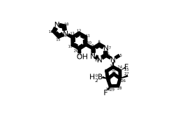 B[C@]12C[C@@H](N(C)c3ncc(-c4ccc(-n5ccnc5)cc4O)nn3)[C@H](F)[C@](C)(C[C@H]1F)C2